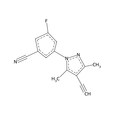 C#Cc1c(C)nn(-c2cc(F)cc(C#N)c2)c1C